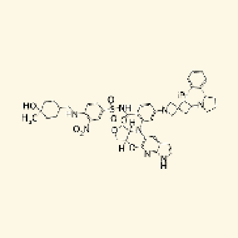 CC(C)c1ccccc1[C@@H]1CCCN1C1CC2(C1)CN(c1ccc(C(=O)NS(=O)(=O)c3ccc(NCC4CCC(C)(O)CC4)c([N+](=O)[O-])c3)c(N3c4cc5cc[nH]c5nc4O[C@H]4COC[C@@H]43)c1)C2